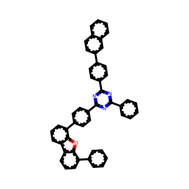 c1ccc(-c2nc(-c3ccc(-c4ccc5ccccc5c4)cc3)nc(-c3ccc(-c4cccc5c4oc4c(-c6ccccc6)cccc45)cc3)n2)cc1